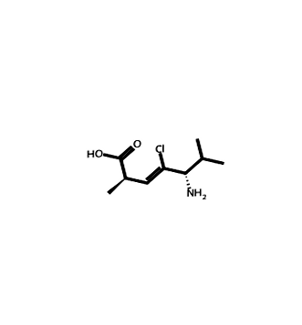 CC(C)[C@H](N)C(Cl)=C[C@@H](C)C(=O)O